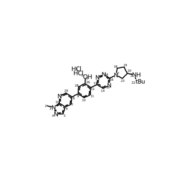 Cl.Cl.Cn1ncc2cc(-c3ccc(-c4cnc(N5CCC(NC(C)(C)C)C5)nn4)c(O)c3)cnc21